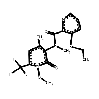 CCSc1cccnc1C(=O)N(C)c1c(C)cc(C(F)(F)F)n(OC)c1=O